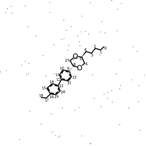 CCCCC[C@H]1CO[C@H](c2ccc(-c3ccc(CC)cc3)cc2)CO1